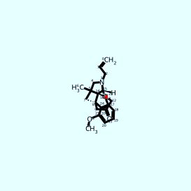 C=CCN1CC2(C)C[C@]34CC(=O)CC[C@]23[C@H]1Cc1cccc(OC)c14